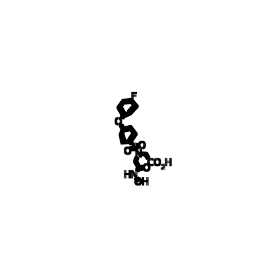 O=C(O)CN(CC(=O)NO)S(=O)(=O)c1ccc(Oc2ccc(F)cc2)cc1